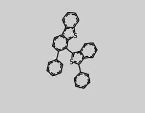 c1ccc(-c2ccc3c(sc4ccccc43)c2-c2sc(-c3ccccc3)c3ccccc23)cc1